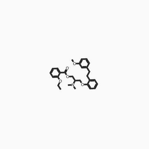 CCOc1ccccc1C(=O)OCC(COc1ccccc1CCc1cccc(OC)c1)N(C)C